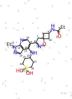 CCC(=O)NC1CC2(CC(c3cnc4c(cnn4CC)c3NC3CCS(O)(O)CC3)=NO2)C1